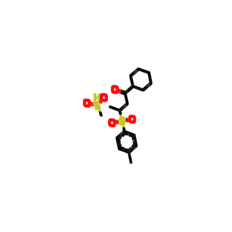 C[SH](=O)=O.Cc1ccc(S(=O)(=O)C(C)CC(=O)C2CCCCC2)cc1